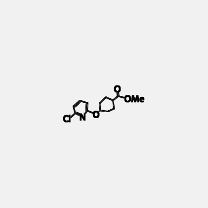 COC(=O)C1CCC(Oc2cccc(Cl)n2)CC1